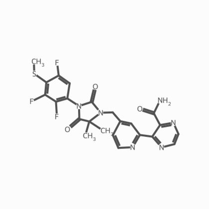 CSc1c(F)cc(N2C(=O)N(Cc3ccnc(-c4nccnc4C(N)=O)c3)C(C)(C)C2=O)c(F)c1F